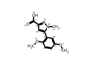 COc1ccc(OC)c(-c2cc(C(=O)O)nn2C)c1